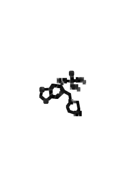 NP(N)(N)=O.c1cc2c(cc1CN1CCNCC1)OCO2